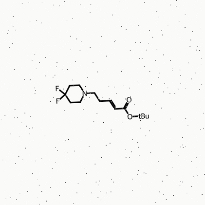 CC(C)(C)OC(=O)/C=C/CCN1CCC(F)(F)CC1